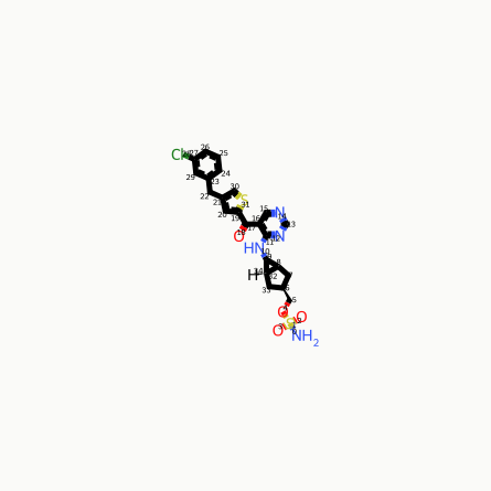 NS(=O)(=O)OC[C@@H]1CC2C(Nc3ncncc3C(=O)c3cc(Cc4cccc(Cl)c4)cs3)[C@@H]2C1